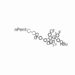 CCCCC[C@H]1CC[C@H]([C@H]2CC[C@H](OC(=O)c3ccc(-c4ccc5c(c4)-c4c(c6c(c7cc(C(F)(F)F)ccc47)OC(c4ccc(F)cc4)(c4ccc(OCCCC)cc4)C=C6)C5(C)C)cc3)CC2)CC1